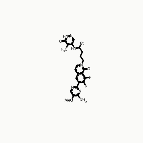 CCC(CCCn1ccc2cc(-c3ncc(OC)c(N)n3)c(F)c(F)c2c1=O)Nc1cn[nH]c(=O)c1C(F)(F)F